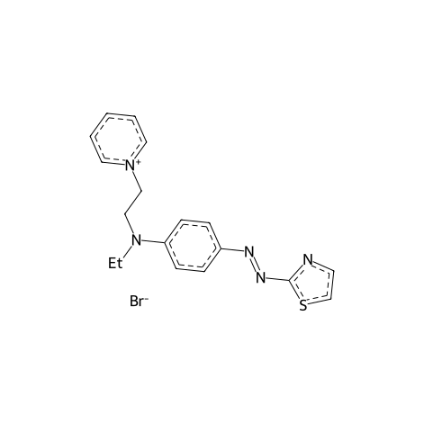 CCN(CC[n+]1ccccc1)c1ccc(N=Nc2nccs2)cc1.[Br-]